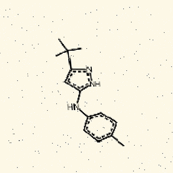 Cc1ccc(Nc2[c]c(C(C)(C)C)n[nH]2)cc1